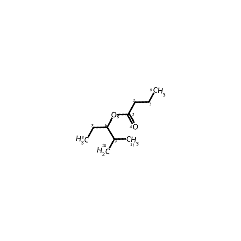 CCCC(=O)OC(CC)C(C)C